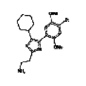 CCc1cc(OC)c(-c2nc(CCN)sc2C2CCCCC2)cc1OC